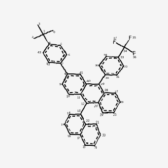 CC(C)(C)c1ccc(-c2ccc3c(-c4cccc5ccccc45)c4ccccc4c(-c4ccc(C(F)(F)F)cc4)c3c2)cc1